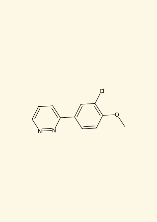 COc1ccc(-c2cccnn2)cc1Cl